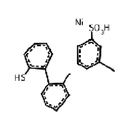 Cc1cccc(S(=O)(=O)O)c1.Cc1ccccc1-c1ccccc1S.[Ni]